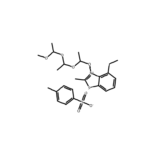 CCc1cccc2sc(C)[n+](OC(C)OC(C)OC(C)OC)c12.Cc1ccc(S(=O)(=O)[O-])cc1